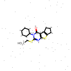 O=C(O)CSc1nc2sc3c(c2c(=O)n1C1CCCCC1)CCC3